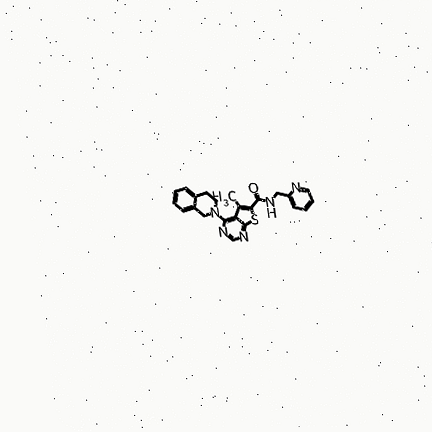 Cc1c(C(=O)NCc2ccccn2)sc2ncnc(N3CCc4ccccc4C3)c12